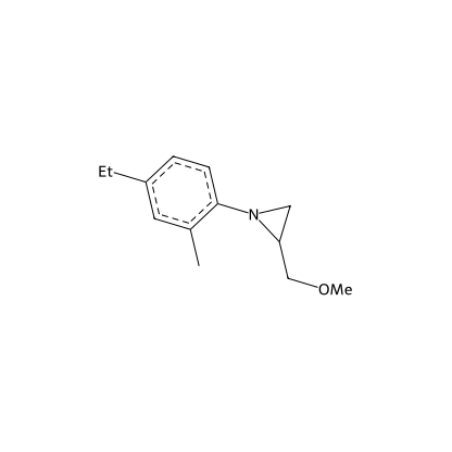 CCc1ccc(N2CC2COC)c(C)c1